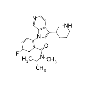 CC(C)N(C)C(=O)C1=C(n2cc(C3CCCNC3)c3ccncc32)C=CC(F)C1